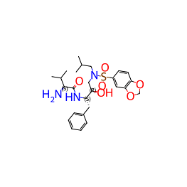 CC(C)CN(C[C@@H](O)[C@H](Cc1ccccc1)NC(=O)[C@@H](N)C(C)C)S(=O)(=O)c1ccc2c(c1)OCO2